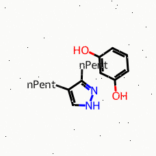 CCCCCc1c[nH]nc1CCCCC.Oc1cccc(O)c1